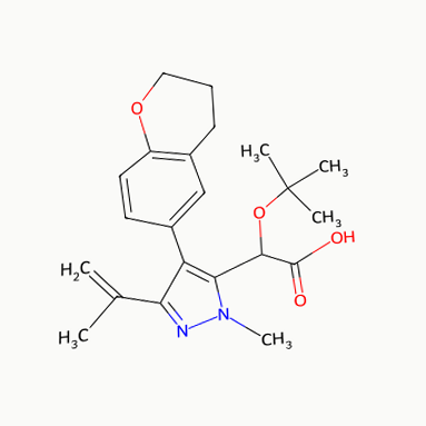 C=C(C)c1nn(C)c(C(OC(C)(C)C)C(=O)O)c1-c1ccc2c(c1)CCCO2